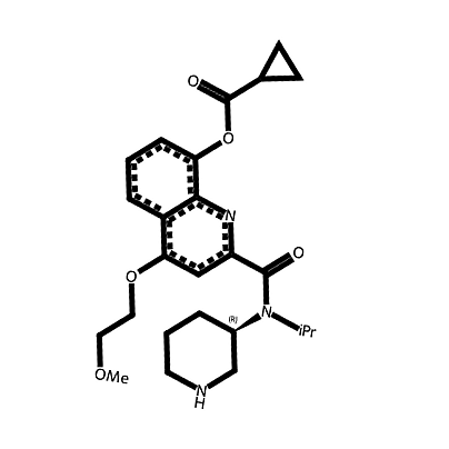 COCCOc1cc(C(=O)N(C(C)C)[C@@H]2CCCNC2)nc2c(OC(=O)C3CC3)cccc12